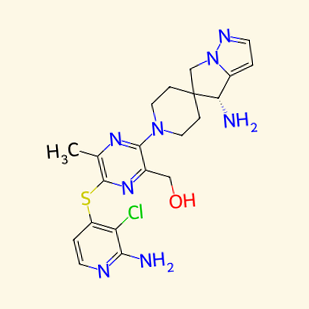 Cc1nc(N2CCC3(CC2)Cn2nccc2[C@@H]3N)c(CO)nc1Sc1ccnc(N)c1Cl